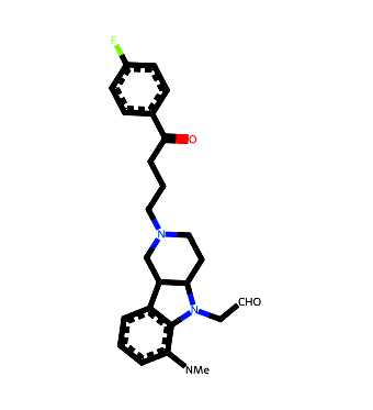 CNc1cccc2c1N(CC=O)C1CCN(CCCC(=O)c3ccc(F)cc3)CC21